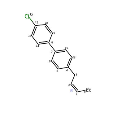 CC/C=C\Cc1ccc(-c2ccc(Cl)cc2)cc1